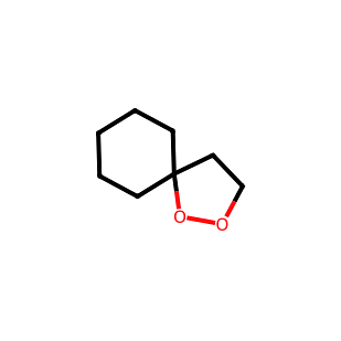 C1CCC2(CC1)CCOO2